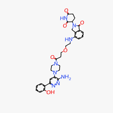 Nc1nnc(-c2ccccc2O)cc1N1CCN(C(=O)CCOCCNc2cccc3c2CN(C2CCC(=O)NC2=O)C3=O)CC1